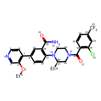 CCOc1cnccc1-c1ccc(N2CCN(C(=O)c3ccc(C(F)(F)F)cc3Cl)C[C@H]2CC)c(C(N)=O)c1